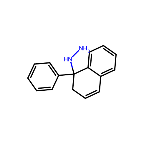 NNC1(c2ccccc2)CC=Cc2ccccc21